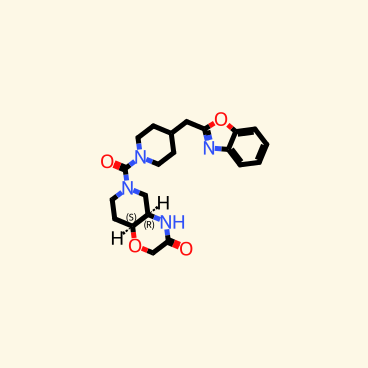 O=C1CO[C@H]2CCN(C(=O)N3CCC(Cc4nc5ccccc5o4)CC3)C[C@H]2N1